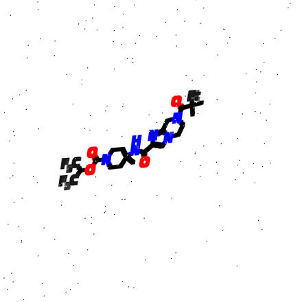 CCC(C)(C)C(=O)N1CCn2cc(C(=O)NC3(C)CCN(C(=O)OC(C(F)(F)F)C(F)(F)F)CC3)nc2C1